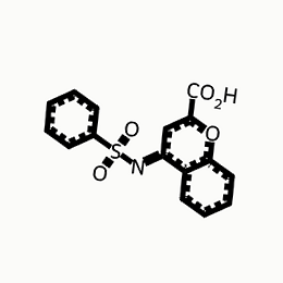 O=C(O)c1cc(=NS(=O)(=O)c2ccccc2)c2ccccc2o1